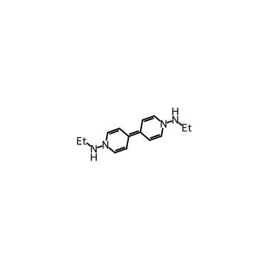 CCNN1C=CC(=C2C=CN(NCC)C=C2)C=C1